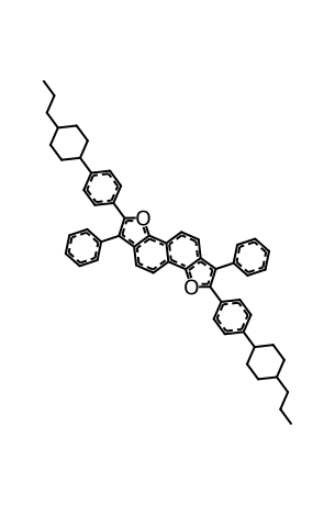 CCCC1CCC(c2ccc(-c3oc4c(ccc5c4ccc4c(-c6ccccc6)c(-c6ccc(C7CCC(CCC)CC7)cc6)oc45)c3-c3ccccc3)cc2)CC1